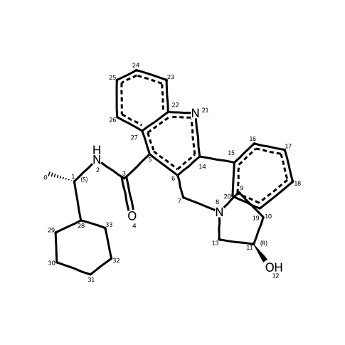 C[C@H](NC(=O)c1c(CN2CC[C@@H](O)C2)c(-c2ccccc2)nc2ccccc12)C1CCCCC1